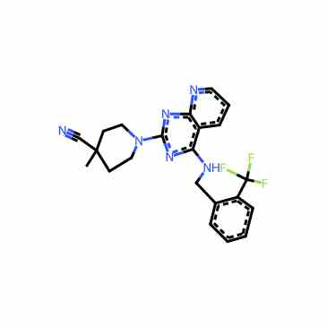 CC1(C#N)CCN(c2nc(NCc3ccccc3C(F)(F)F)c3cccnc3n2)CC1